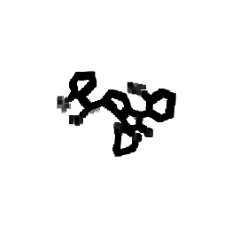 N#Cc1ccccc1N1C(=O)C2(OCCCO2)c2cc([C@@H](O)c3ccccc3C(F)(F)F)ccc21